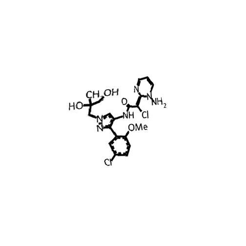 COc1ccc(Cl)cc1-c1nn(CC(C)(O)CO)cc1NC(=O)/C(Cl)=C1\N=CC=CN1N